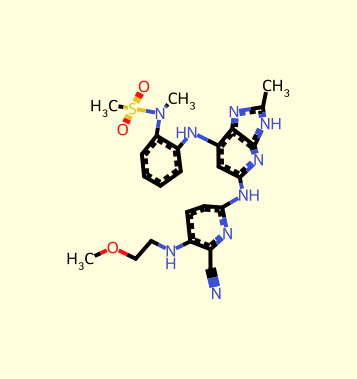 COCCNc1ccc(Nc2cc(Nc3ccccc3N(C)S(C)(=O)=O)c3nc(C)[nH]c3n2)nc1C#N